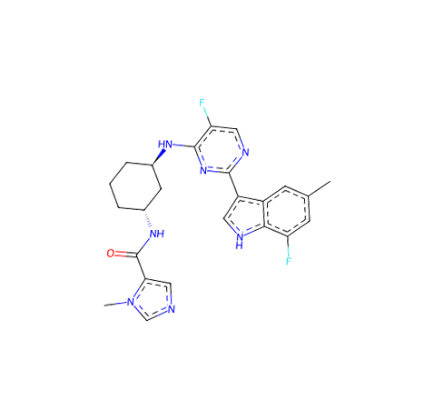 Cc1cc(F)c2[nH]cc(-c3ncc(F)c(N[C@@H]4CCC[C@@H](NC(=O)c5cncn5C)C4)n3)c2c1